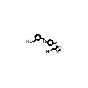 OCc1cccc(COc2ccc(Sc3ocnc3CO)cc2)c1